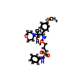 CSc1ccc(C(=NOCCCS(=O)(=O)Nc2ccccc2)C(C)(C)N2CCOCC2)cc1